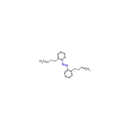 C=CCCc1ccccc1/N=N/c1ccccc1CCC=C